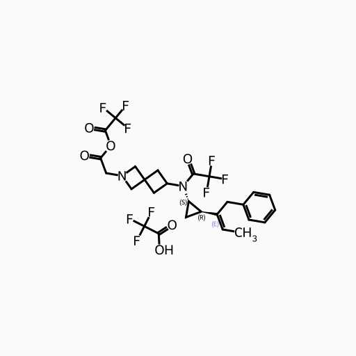 C/C=C(\Cc1ccccc1)[C@H]1C[C@@H]1N(C(=O)C(F)(F)F)C1CC2(C1)CN(CC(=O)OC(=O)C(F)(F)F)C2.O=C(O)C(F)(F)F